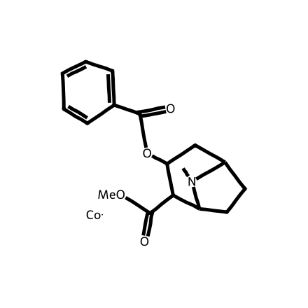 COC(=O)C1C(OC(=O)c2ccccc2)CC2CCC1N2C.[Co]